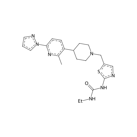 CCNC(=O)Nc1ncc(CN2CCC(c3ccc(-n4cccn4)nc3C)CC2)s1